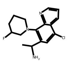 CC(N)c1cc(Cl)c2cccnc2c1N1CCCC(F)C1